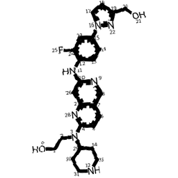 OCCN(c1ccc2cnc(Nc3ccc(-n4ccc(CO)n4)cc3F)cc2n1)C1CCNCC1